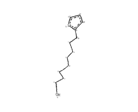 OCCCCCCCCc1cccs1